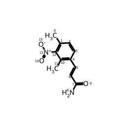 Cc1ccc(C=CC(N)=O)c(C)c1[N+](=O)[O-]